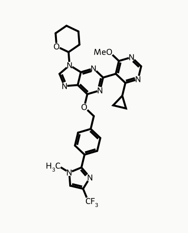 COc1ncnc(C2CC2)c1-c1nc(OCc2ccc(-c3nc(C(F)(F)F)cn3C)cc2)c2ncn(C3CCCCO3)c2n1